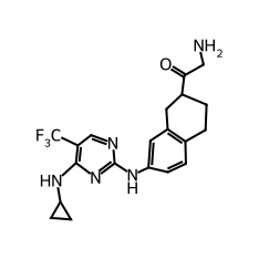 NCC(=O)C1CCc2ccc(Nc3ncc(C(F)(F)F)c(NC4CC4)n3)cc2C1